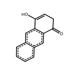 O=C1CC=C(O)c2cc3ccccc3cc21